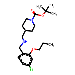 CCCOc1cc(Cl)ccc1CNCC1CCN(C(=O)OC(C)(C)C)CC1